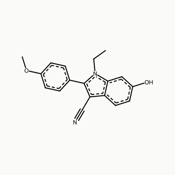 CCn1c(-c2ccc(OC)cc2)c(C#N)c2ccc(O)cc21